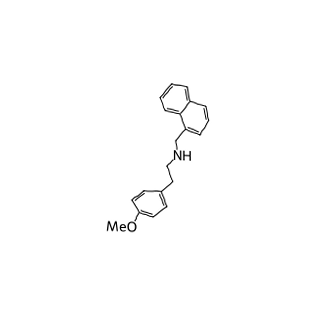 COc1ccc(CCNCc2cccc3ccccc23)cc1